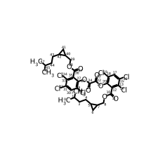 CC(C)CCC1CC1COC(=O)c1c(Cl)c(Cl)cc(Cl)c1OC(=O)C(=O)Oc1c(Cl)cc(Cl)c(Cl)c1C(=O)OCC1CC1CCC(C)C